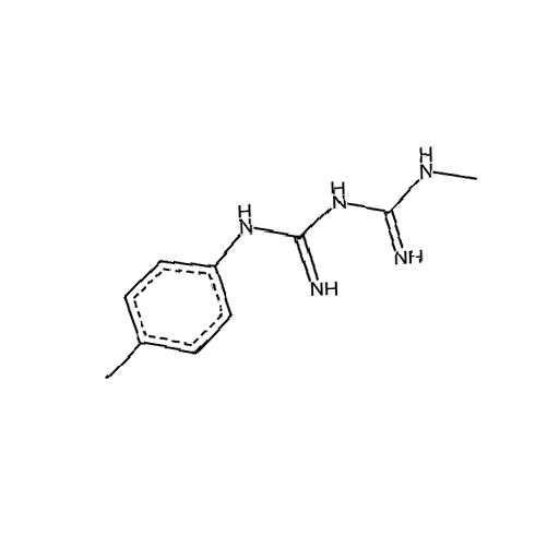 CNC(=N)NC(=N)Nc1ccc(C)cc1